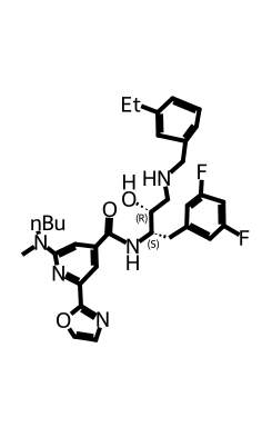 CCCCN(C)c1cc(C(=O)N[C@@H](Cc2cc(F)cc(F)c2)[C@H](O)CNCc2cccc(CC)c2)cc(-c2ncco2)n1